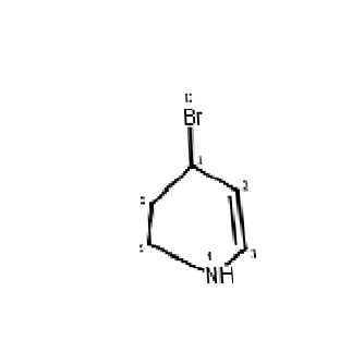 BrC1C=CNCC1